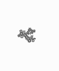 C=CC(=O)Nc1cccc(C)c1Nc1cc2c(NCc3cnn(CC(OC)OC)c3)nc(-c3c(Cl)c(OC)cc(OC)c3Cl)cc2cn1